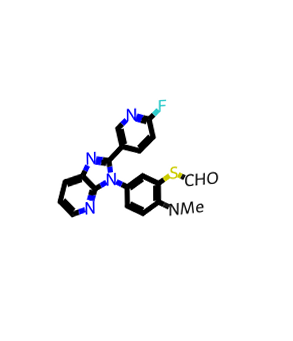 CNc1ccc(-n2c(-c3ccc(F)nc3)nc3cccnc32)cc1SC=O